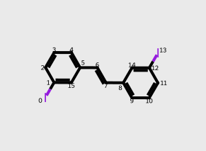 Ic1cccc(/C=C/c2cccc(I)c2)c1